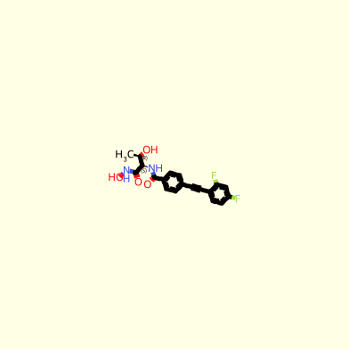 C[C@@H](O)[C@H](NC(=O)c1ccc(C#Cc2ccc(F)cc2F)cc1)C(=O)NO